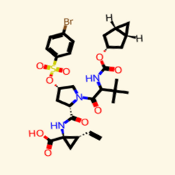 C=C[C@@H]1C[C@]1(NC(=O)[C@@H]1C[C@H](OS(=O)(=O)c2ccc(Br)cc2)CN1C(=O)C(NC(=O)O[C@@H]1C[C@@H]2C[C@@H]2C1)C(C)(C)C)C(=O)O